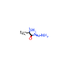 N#CC(N)C(=O)N=NN